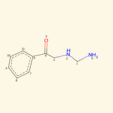 NCNCC(=O)c1ccccc1